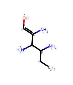 CCC(N)C(N)C(N)=CO